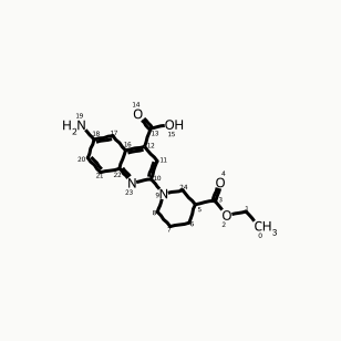 CCOC(=O)C1CCCN(c2cc(C(=O)O)c3cc(N)ccc3n2)C1